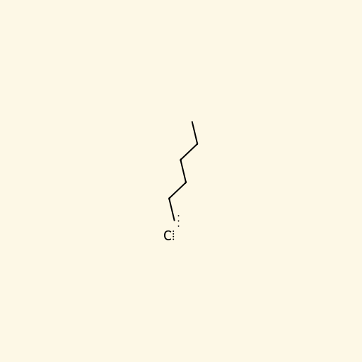 [C].[C]CCCCC